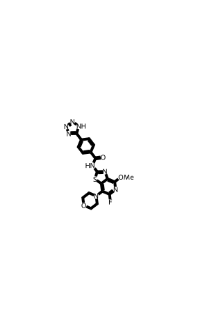 COc1nc(F)c(N2CCOCC2)c2sc(NC(=O)c3ccc(-c4nnn[nH]4)cc3)nc12